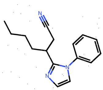 CCCCC(CC#N)c1nccn1-c1ccccc1